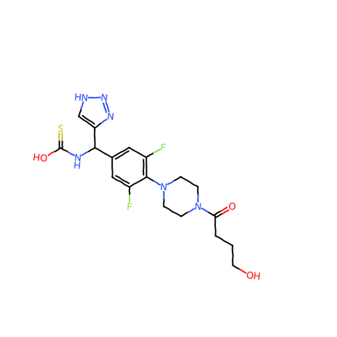 O=C(CCCO)N1CCN(c2c(F)cc(C(NC(O)=S)c3c[nH]nn3)cc2F)CC1